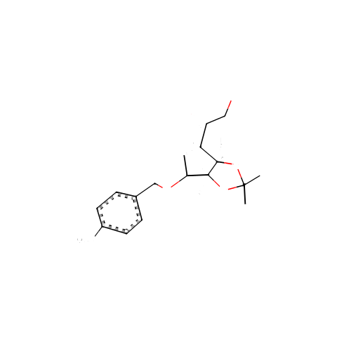 COc1ccc(COC2C[C@H]([C@H](O)CO)[C@H]3OC(C)(C)O[C@@H]23)cc1